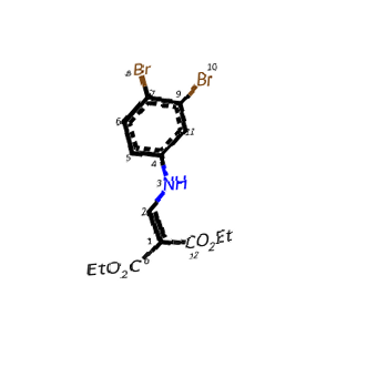 CCOC(=O)C(=CNc1ccc(Br)c(Br)c1)C(=O)OCC